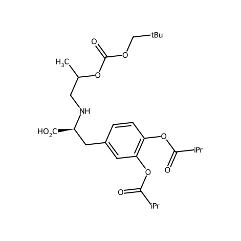 CC(CN[C@@H](Cc1ccc(OC(=O)C(C)C)c(OC(=O)C(C)C)c1)C(=O)O)OC(=O)OCC(C)(C)C